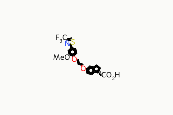 COc1cc(-c2nc(C(F)(F)F)cs2)ccc1OCCCOc1ccc2c(c1)CC[C@H]2CC(=O)O